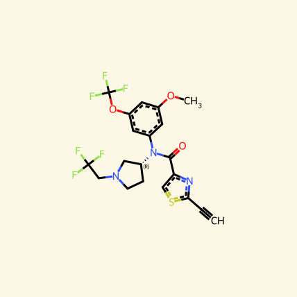 C#Cc1nc(C(=O)N(c2cc(OC)cc(OC(F)(F)F)c2)[C@@H]2CCN(CC(F)(F)F)C2)cs1